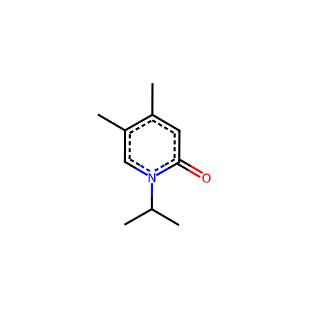 Cc1cc(=O)n(C(C)C)cc1C